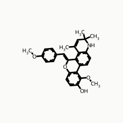 COc1ccc(/C=C2\Oc3ccc(O)c(OC)c3-c3ccc4c(c32)C(C)=CC(C)(C)N4)cc1